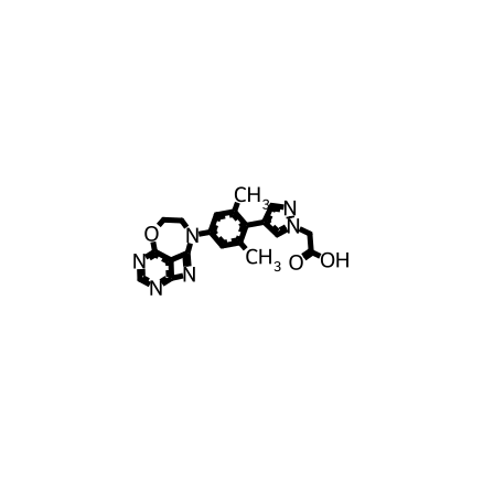 Cc1cc(N2CCOc3ncnc4c3C2=N4)cc(C)c1-c1cnn(CC(=O)O)c1